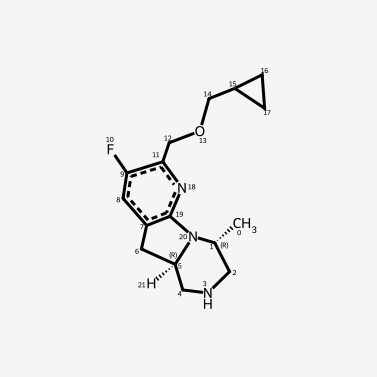 C[C@@H]1CNC[C@H]2Cc3cc(F)c(COCC4CC4)nc3N21